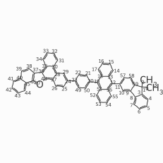 CC1(C)c2ccccc2-c2cc(-c3c4ccccc4c(-c4ccc(-c5ccc6c(c5)c5ccccc5c5c7ccc8ccccc8c7oc65)cc4)c4ccccc34)ccc21